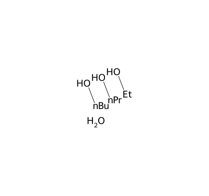 CCCCO.CCCO.CCO.O